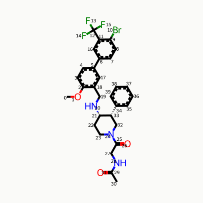 COc1ccc(-c2ccc(Br)c(C(F)(F)F)c2)cc1CN[C@H]1CCN(C(=O)CNC(C)=O)C[C@H]1c1ccccc1